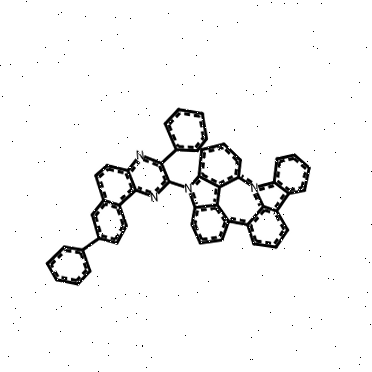 c1ccc(-c2ccc3c(ccc4nc(-c5ccccc5)c(-n5c6cccc7c8cccc9c%10ccccc%10n(c%10cccc5c%10c76)c89)nc43)c2)cc1